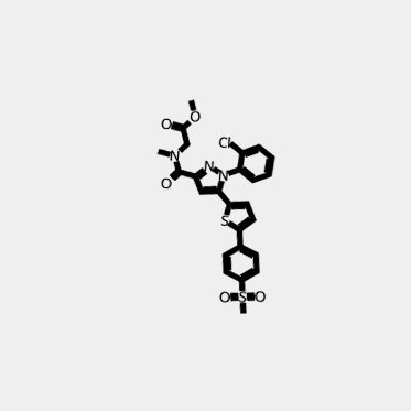 COC(=O)CN(C)C(=O)c1cc(-c2ccc(-c3ccc(S(C)(=O)=O)cc3)s2)n(-c2ccccc2Cl)n1